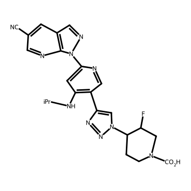 CC(C)Nc1cc(-n2ncc3cc(C#N)cnc32)ncc1-c1cn(C2CCN(C(=O)O)CC2F)nn1